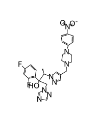 C[C@@H](n1cc(CN2CCN(c3ccc([N+](=O)[O-])cc3)CC2)cn1)[C@](O)(Cn1cncn1)c1ccc(F)cc1F